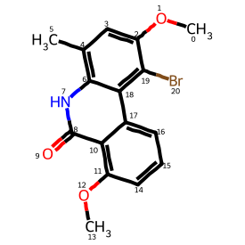 COc1cc(C)c2[nH]c(=O)c3c(OC)cccc3c2c1Br